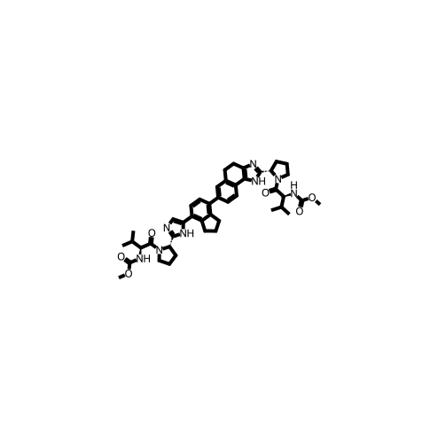 COC(=O)N[C@H](C(=O)N1CCC[C@H]1c1ncc(-c2ccc(-c3ccc4c(c3)CCc3nc([C@@H]5CCCN5C(=O)[C@@H](NC(=O)OC)C(C)C)[nH]c3-4)c3c2CCC3)[nH]1)C(C)C